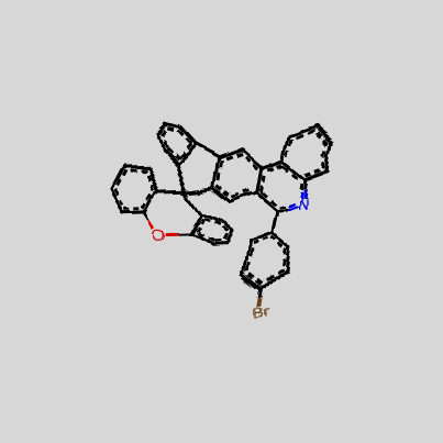 Brc1ccc(-c2nc3ccccc3c3cc4c(cc23)C2(c3ccccc3Oc3ccccc32)c2ccccc2-4)cc1